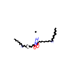 C=C.CCCCCCCC/C=C\CCCCCCCC(=O)NC(=O)CCCCCCC/C=C\CCCCCCCC